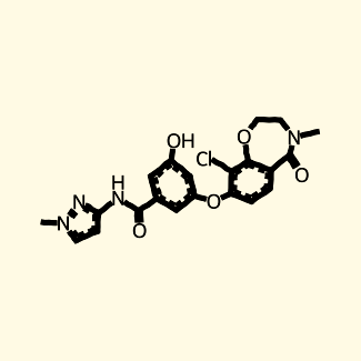 CN1CCOc2c(ccc(Oc3cc(O)cc(C(=O)Nc4ccn(C)n4)c3)c2Cl)C1=O